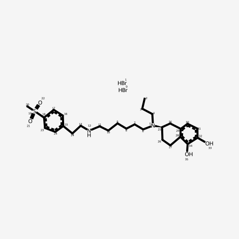 Br.Br.CCCN(CCCCCCNCCc1ccc(S(C)(=O)=O)cc1)[C@@H]1CCc2c(ccc(O)c2O)C1